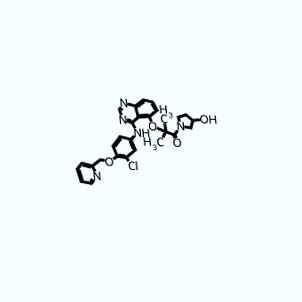 CC(C)(Oc1cccc2ncnc(Nc3ccc(OCc4ccccn4)c(Cl)c3)c12)C(=O)N1CCC(O)C1